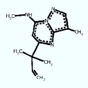 C=CC(C)(C)c1cc(NC)n2ncc(C)c2n1